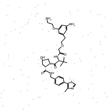 Cc1ncsc1-c1ccc(CNC(=O)[C@@H]2C[C@@H](O)CN2C(=O)[C@@H](NC(=O)COCCc2cc(N)cc(OCCN)c2)C(C)(C)C)cc1